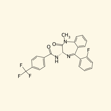 CN1C(=O)[C@@H](NC(=O)c2ccc(C(F)(F)F)cc2)N=C(c2ccccc2F)c2ccccc21